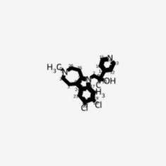 CN1CCc2c(n(CC(C)(O)c3ccncc3)c3cc(Cl)c(Cl)cc23)CC1